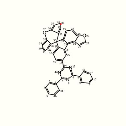 c1ccc(-c2nc(-c3ccccc3)nc(-c3ccc4c(c3)-c3c(ccc5occc35)C43c4ccccc4Oc4ccccc43)n2)cc1